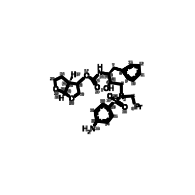 CC(C)CN(C[C@@H](O)[C@H](Cc1ccccc1)NC(=O)OC1CO[C@H]2OCC[C@@H]12)S(=O)(=O)c1ccc(N)cc1